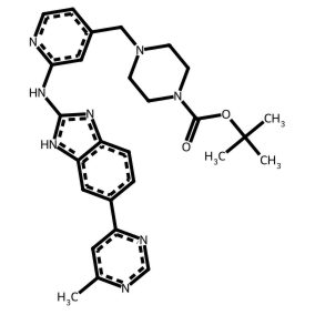 Cc1cc(-c2ccc3nc(Nc4cc(CN5CCN(C(=O)OC(C)(C)C)CC5)ccn4)[nH]c3c2)ncn1